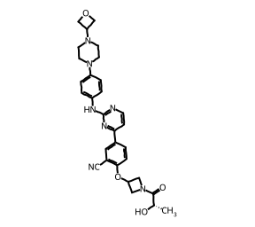 C[C@H](O)C(=O)N1CC(Oc2ccc(-c3ccnc(Nc4ccc(N5CCN(C6COC6)CC5)cc4)n3)cc2C#N)C1